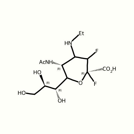 CCNC1C(F)[C@](F)(C(=O)O)OC([C@H](O)[C@H](O)CO)[C@@H]1NC(C)=O